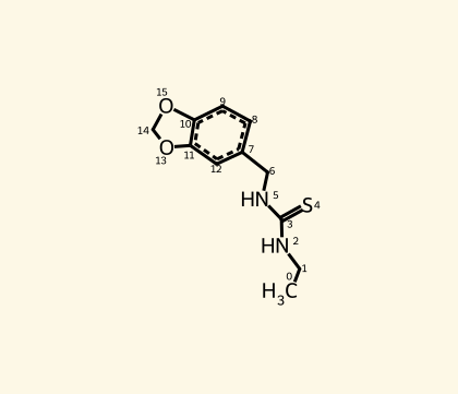 CCNC(=S)NCc1ccc2c(c1)OCO2